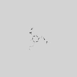 O=C=Nc1[c]c(N=C=O)cc(CCBr)c1